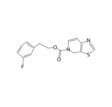 O=C(OCCc1cccc(F)c1)N1C=Cc2ncsc2C1